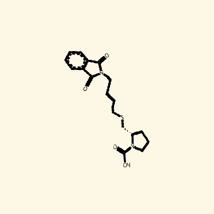 O=C1c2ccccc2C(=O)N1CCCCSC[C@@H]1CCCN1C(=O)O